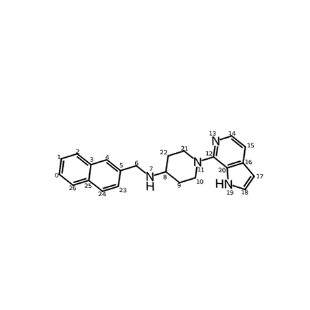 c1ccc2cc(CNC3CCN(c4nccc5cc[nH]c45)CC3)ccc2c1